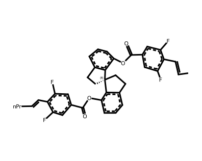 CC=Cc1c(F)cc(C(=O)Oc2cccc3c2[C@@]2(CC3)CCc3cccc(OC(=O)c4cc(F)c(C=CCCC)c(F)c4)c32)cc1F